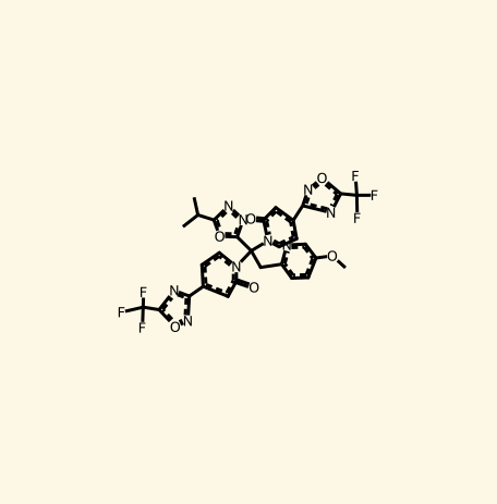 COc1ccc(CC(c2nnc(C(C)C)o2)(n2ccc(-c3noc(C(F)(F)F)n3)cc2=O)n2ccc(-c3noc(C(F)(F)F)n3)cc2=O)nc1